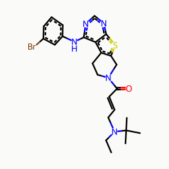 CCN(C/C=C/C(=O)N1CCc2c(sc3ncnc(Nc4cccc(Br)c4)c23)C1)C(C)(C)C